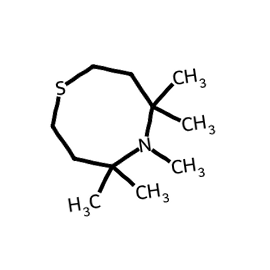 CN1C(C)(C)CCSCCC1(C)C